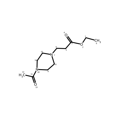 CCOC(=O)CCN1CCN(C(C)=O)CC1